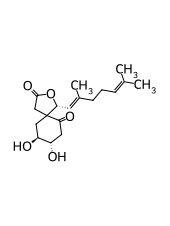 CC(C)=CCC/C(C)=C/[C@H]1OC(=O)CC12C[C@H](O)[C@@H](O)CC2=O